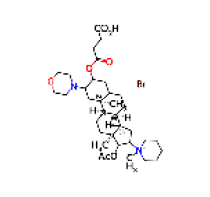 CC(=O)OC1C([N+]2(C)CCCCC2)C[C@H]2[C@@H]3CCC4CC(OC(=O)CCC(=O)O)C(N5CCOCC5)C[C@]4(C)[C@@H]3CC[C@]12C.[Br-]